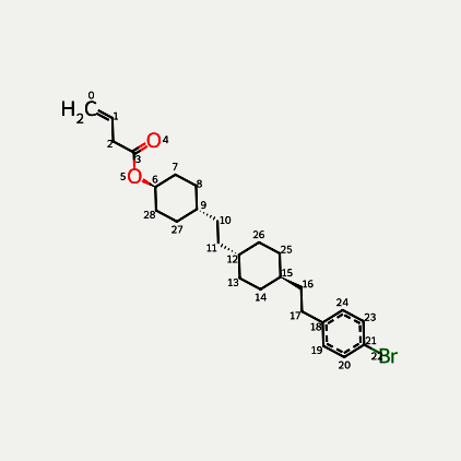 C=CCC(=O)O[C@H]1CC[C@H](CC[C@H]2CC[C@H](CCc3ccc(Br)cc3)CC2)CC1